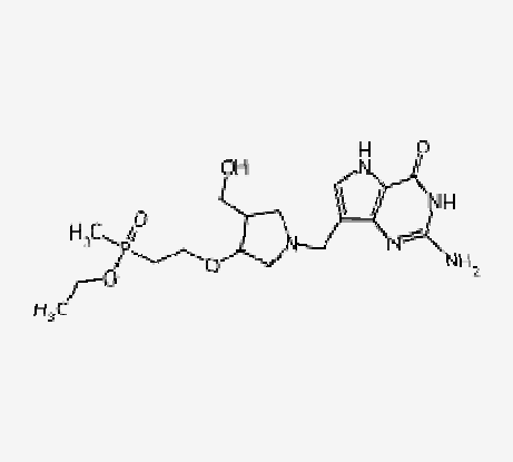 CCOP(C)(=O)CCOC1CN(Cc2c[nH]c3c(=O)[nH]c(N)nc23)CC1CO